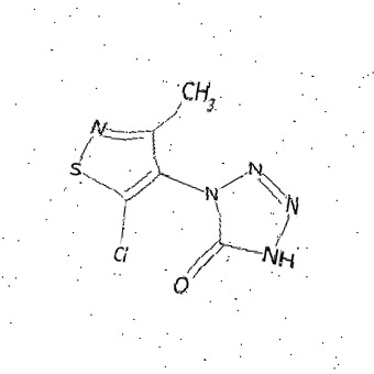 Cc1nsc(Cl)c1-n1nn[nH]c1=O